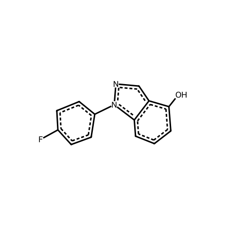 Oc1cccc2c1cnn2-c1ccc(F)cc1